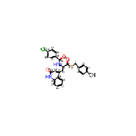 N#Cc1ccc(CSC(=O)C(Cc2cc(=O)[nH]c3ccccc23)NC(=O)c2ccc(Cl)cc2)cc1